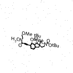 COCCN(C)C(=O)C#Cc1ccc2c(c1)[C@@H](N[S@+]([O-])C(C)(C)C)C1(CCN(C(=O)OC(C)(C)C)CC1)C2